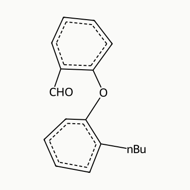 CCCCc1ccccc1Oc1ccccc1C=O